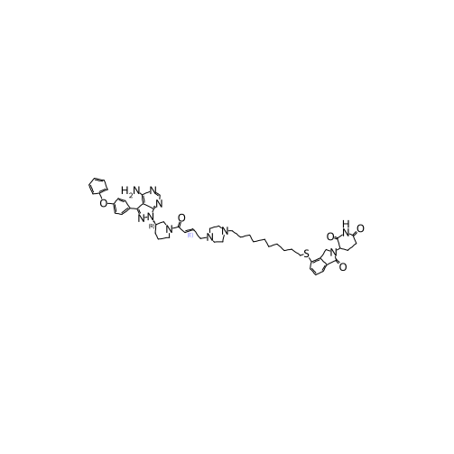 Nc1ncnc2c1c(-c1ccc(Oc3ccccc3)cc1)nn2[C@@H]1CCCN(C(=O)/C=C/CN2CCN(CCCCCCCCCCSc3cccc4c3CN(C3CCC(=O)NC3=O)C4=O)CC2)C1